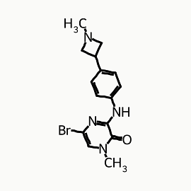 CN1CC(c2ccc(Nc3nc(Br)cn(C)c3=O)cc2)C1